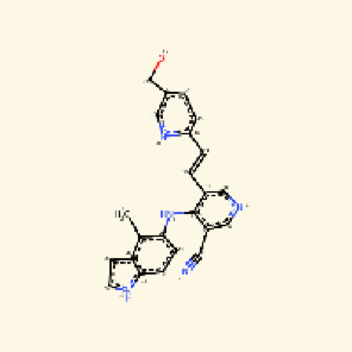 Cc1c(Nc2c(C#N)cncc2/C=C/c2ccc(CO)cn2)ccc2[nH]ccc12